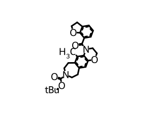 Cc1c2c(cc3c1N(C(=O)c1cccc4c1OCC4)CCO3)CCN(C(=O)OC(C)(C)C)CC2